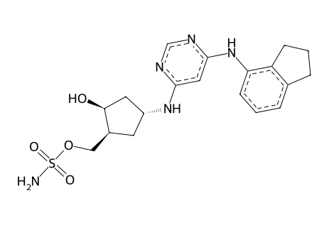 NS(=O)(=O)OC[C@@H]1C[C@@H](Nc2cc(Nc3cccc4c3CCC4)ncn2)C[C@@H]1O